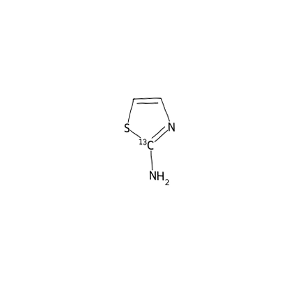 N[13c]1nccs1